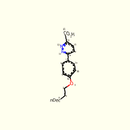 CCCCCCCCCCCCOc1ccc(-c2ccc(C(=O)O)nn2)cc1